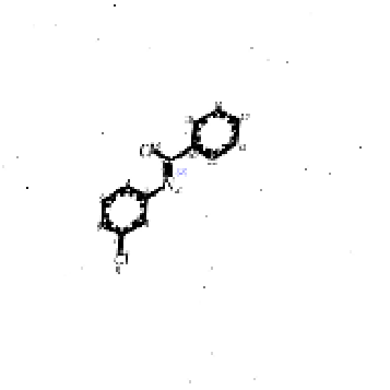 Cl/C(=N\c1cccc(Cl)c1)c1ccccc1